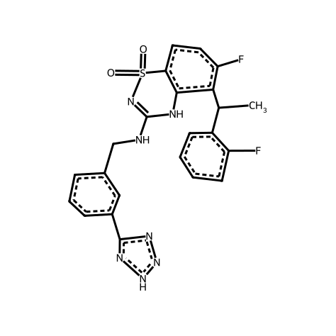 CC(c1ccccc1F)c1c(F)ccc2c1NC(NCc1cccc(-c3nn[nH]n3)c1)=NS2(=O)=O